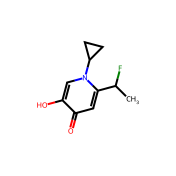 CC(F)c1cc(=O)c(O)cn1C1CC1